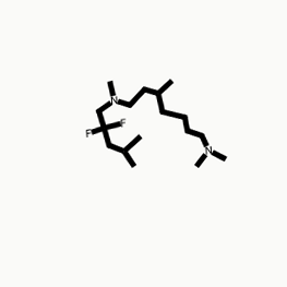 CC(C)CC(F)(F)CN(C)CCC(C)CCCCN(C)C